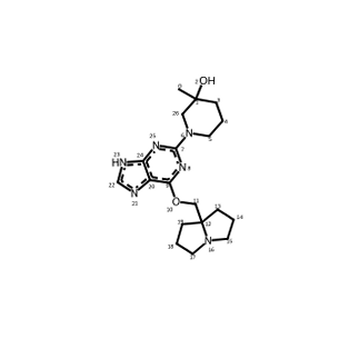 CC1(O)CCCN(c2nc(OCC34CCCN3CCC4)c3nc[nH]c3n2)C1